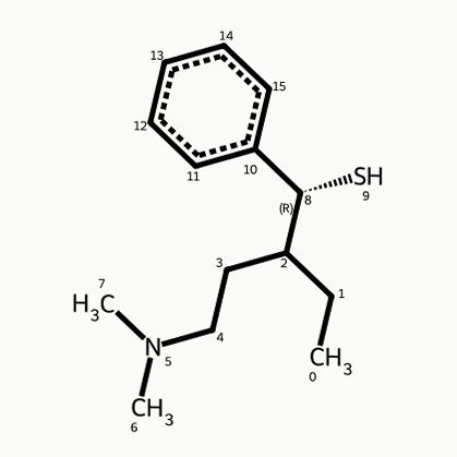 CCC(CCN(C)C)[C@@H](S)c1ccccc1